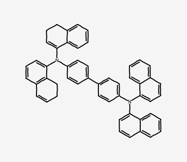 C1=Cc2cccc(N(C3=CCCc4ccccc43)c3ccc(-c4ccc(N(c5cccc6ccccc56)c5cccc6ccccc56)cc4)cc3)c2CC1